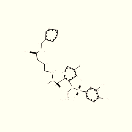 COCN(c1cc(Cl)cnc1C(=O)N(C)OCCCC(=O)OCc1ccccc1)S(=O)(=O)c1ccc(Cl)c(C(F)(F)F)c1